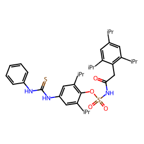 CC(C)c1cc(C(C)C)c(CC(=O)NS(=O)(=O)Oc2c(C(C)C)cc(NC(=S)Nc3ccccc3)cc2C(C)C)c(C(C)C)c1